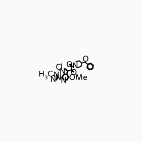 COc1cnc(-n2cnc(C)n2)c2c1c(C(=O)C(=O)N1CCC(C(=O)c3ccccc3)CC1)cn2CCl